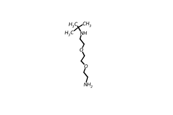 CC(C)(C)NCCOCCOCCN